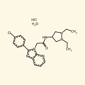 CCN1CC(NC(=O)Cn2c(-c3ccc(Cl)cc3)nc3cccnc32)CN1CC.Cl.O